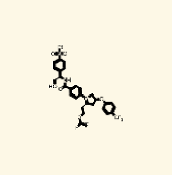 CCS(=O)(=O)c1ccc([C@H](CO)NC(=O)c2ccc(N3CC(Oc4ccc(C(F)(F)F)cc4)C[C@H]3CCOC(F)F)cc2)cc1